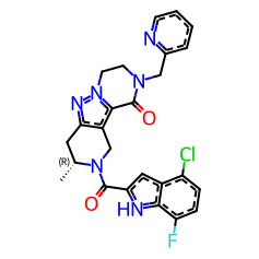 C[C@@H]1Cc2nn3c(c2CN1C(=O)c1cc2c(Cl)ccc(F)c2[nH]1)C(=O)N(Cc1ccccn1)CC3